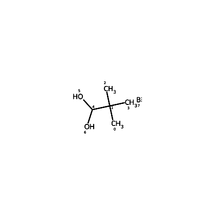 CC(C)(C)C(O)O.[B]